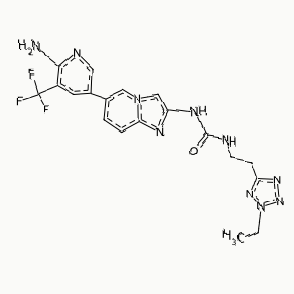 CCn1nnc(CCNC(=O)Nc2cn3cc(-c4cnc(N)c(C(F)(F)F)c4)ccc3n2)n1